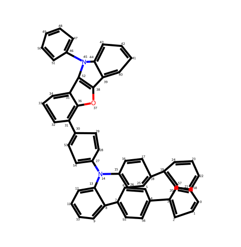 c1ccc(-c2ccc(-c3ccccc3N(c3ccc(-c4ccccc4)cc3)c3ccc(-c4cccc5c4oc4c6ccccc6n(-c6ccccc6)c54)cc3)cc2)cc1